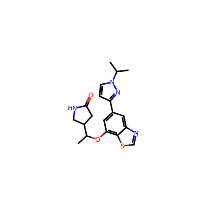 CC(Oc1cc(-c2ccn(C(C)C)n2)cc2ncsc12)C1CNC(=O)C1